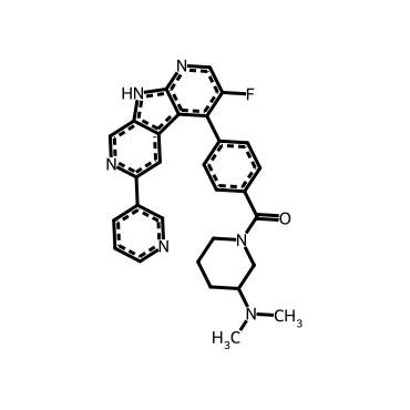 CN(C)C1CCCN(C(=O)c2ccc(-c3c(F)cnc4[nH]c5cnc(-c6cccnc6)cc5c34)cc2)C1